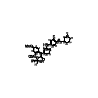 COc1ccc(N(C(=O)OC(I)(C(C)C)C(C)C)c2ccnc(Nc3ccc(OCC4CCCN(C)C4)c(F)c3)n2)c(OC)c1